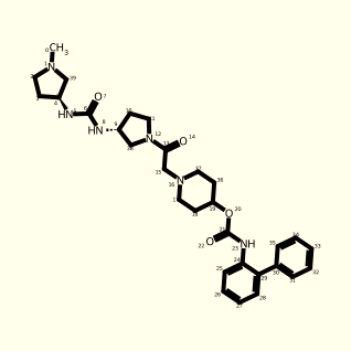 CN1CC[C@H](NC(=O)N[C@@H]2CCN(C(=O)CN3CCC(OC(=O)Nc4ccccc4-c4ccccc4)CC3)C2)C1